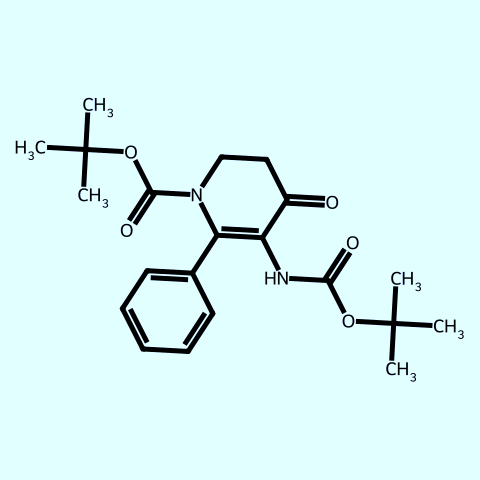 CC(C)(C)OC(=O)NC1=C(c2ccccc2)N(C(=O)OC(C)(C)C)CCC1=O